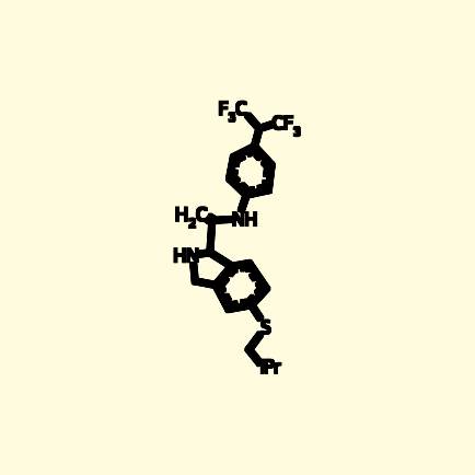 C=C(Nc1ccc(C(C(F)(F)F)C(F)(F)F)cc1)C1NCc2cc(SCC(C)C)ccc21